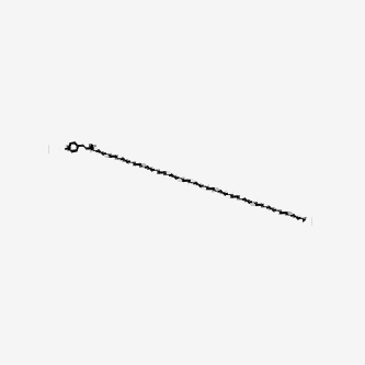 COCCOCCOCCOCCOCCOCCOCCOCCOCCOCCOCCOCCOCCOCCOCCOCCOCCOC(=O)CCc1ccc(O)cc1